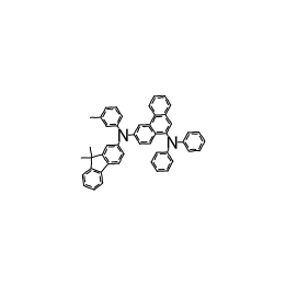 Cc1cccc(N(c2ccc3c(c2)C(C)(C)c2ccccc2-3)c2ccc3c(N(c4ccccc4)c4ccccc4)cc4ccccc4c3c2)c1